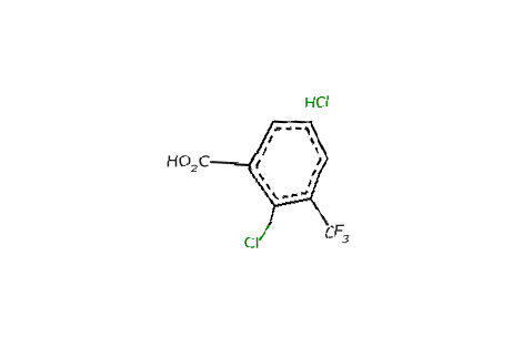 Cl.O=C(O)c1cccc(C(F)(F)F)c1Cl